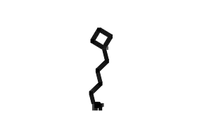 CC(C)CCCC[C]1CCC1